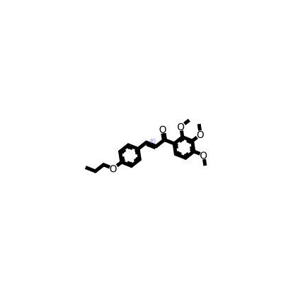 CCCOc1ccc(/C=C/C(=O)c2ccc(OC)c(OC)c2OC)cc1